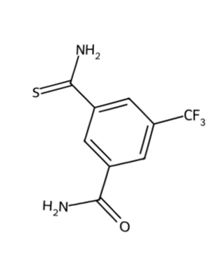 NC(=O)c1cc(C(N)=S)cc(C(F)(F)F)c1